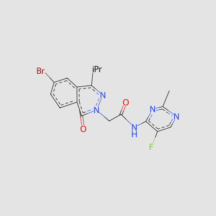 Cc1ncc(F)c(NC(=O)Cn2nc(C(C)C)c3cc(Br)ccc3c2=O)n1